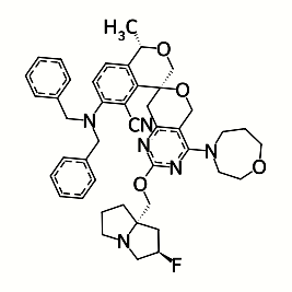 C[C@@H]1OC[C@]2(Cc3nc(OC[C@@]45CCCN4C[C@H](F)C5)nc(N4CCCOCC4)c3CO2)c2c1ccc(N(Cc1ccccc1)Cc1ccccc1)c2C#N